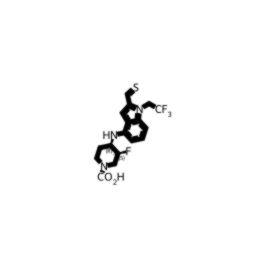 O=C(O)N1CC[C@@H](Nc2cccc3c2cc(C=S)n3CC(F)(F)F)[C@@H](F)C1